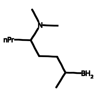 BC(C)CCC(CCC)N(C)C